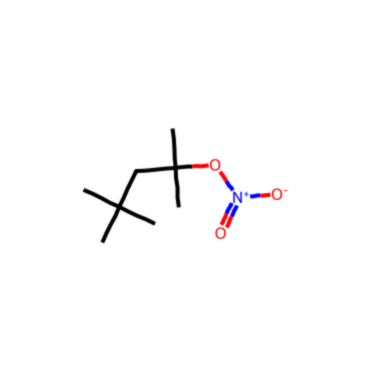 CC(C)(C)CC(C)(C)O[N+](=O)[O-]